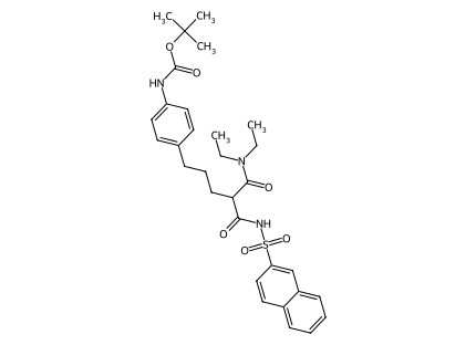 CCN(CC)C(=O)C(CCCc1ccc(NC(=O)OC(C)(C)C)cc1)C(=O)NS(=O)(=O)c1ccc2ccccc2c1